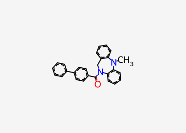 CN1c2ccccc2CN(C(=O)c2ccc(-c3ccccc3)cc2)c2ccccc21